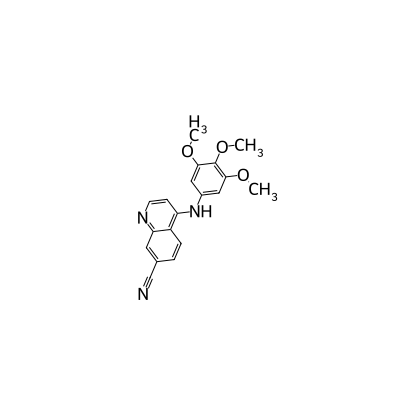 COc1cc(Nc2ccnc3cc(C#N)ccc23)cc(OC)c1OC